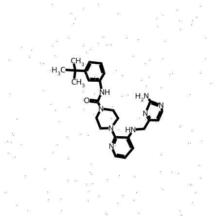 CC(C)(C)c1cccc(NC(=O)N2CCN(c3ncccc3NCc3ccnc(N)n3)CC2)c1